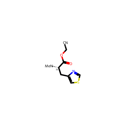 CN[C@@H](Cc1cscn1)C(=O)OCC#N